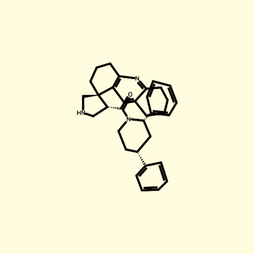 O=C([C@@H]1CNC[C@]12CCCc1nc3c(cc12)CCCC3)N1CC[C@@H](c2ccccc2)C[C@H]1c1ccccc1